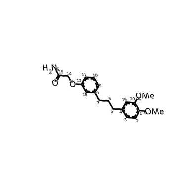 COc1ccc(CCCc2cccc(OCC(N)=O)c2)cc1OC